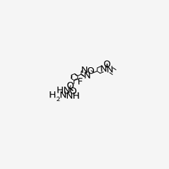 CCN(CC)C(=O)N1CCC(COc2ncc(-c3cccc(COC(=O)NC(=N)N)c3F)cn2)CC1